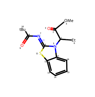 CCC(C(=O)OC)n1/c(=N/C(=O)C(C)(C)C)sc2ccccc21